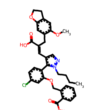 CCCCn1ncc(/C=C(\Cc2cc3c(cc2OC)CCO3)C(=O)O)c1-c1ccc(Cl)cc1OCc1ccccc1C(=O)O